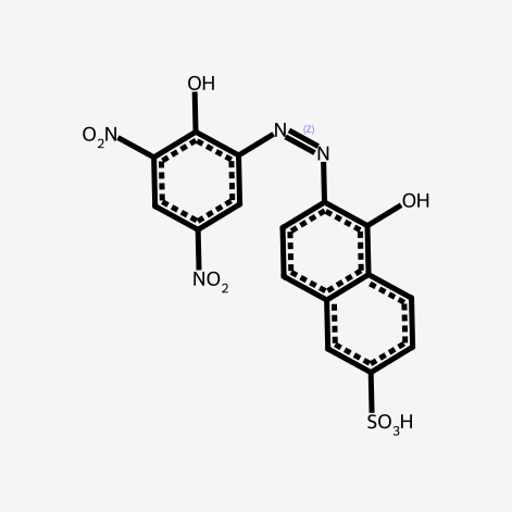 O=[N+]([O-])c1cc(/N=N\c2ccc3cc(S(=O)(=O)O)ccc3c2O)c(O)c([N+](=O)[O-])c1